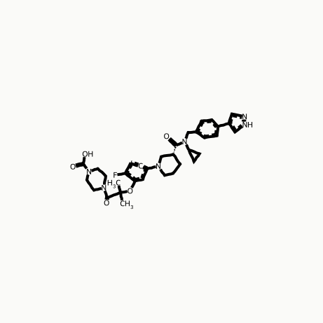 CC(C)(Oc1cc(N2CCC[C@@H](C(=O)N(Cc3ccc(-c4cn[nH]c4)cc3)C3CC3)C2)ccc1F)C(=O)N1CCN(C(=O)O)CC1